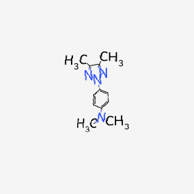 Cc1nn(-c2ccc(N(C)C)cc2)nc1C